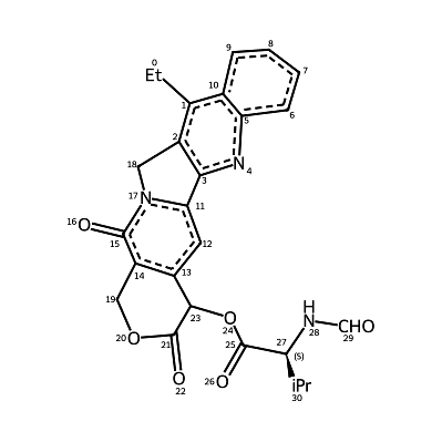 CCc1c2c(nc3ccccc13)-c1cc3c(c(=O)n1C2)COC(=O)C3OC(=O)[C@@H](NC=O)C(C)C